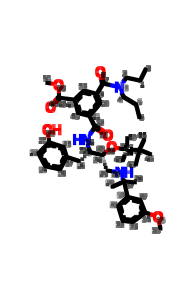 CCCN(CCC)C(=O)c1cc(C(=O)N[C@@H](Cc2cccc(O)c2)[C@@H](CNC(C)(C)c2cccc(OC)c2)O[Si](C)(C)C(C)(C)C)cc(C(=O)OC)c1